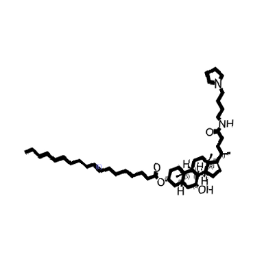 CCCCCCCCC/C=C/CCCCCCC(=O)O[C@@H]1CC[C@@]2(C)[C@@H](C1)C[C@H](O)[C@@H]1[C@@H]2CC[C@]2(C)[C@@H]([C@H](C)CCC(=O)NCCCCN3CCCC3)CC[C@@H]12